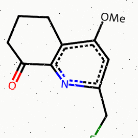 COc1cc(CF)nc2c1CCCC2=O